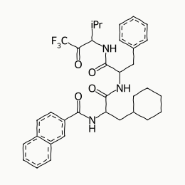 CC(C)C(NC(=O)C(Cc1ccccc1)NC(=O)C(CC1CCCCC1)NC(=O)c1ccc2ccccc2c1)C(=O)C(F)(F)F